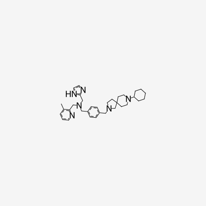 Cc1cccnc1CN(Cc1ccc(CN2CCC3(CCN(C4CCCCC4)CC3)C2)cc1)Cc1ncc[nH]1